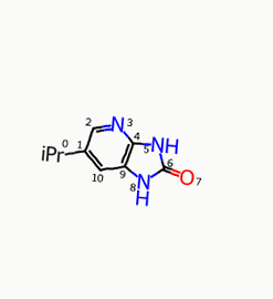 CC(C)c1cnc2[nH]c(=O)[nH]c2c1